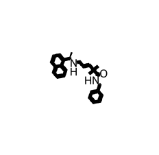 C[C@@H](NC/C=C/C(C)(C)C(=O)NCc1ccccc1)c1cccc2ccccc12